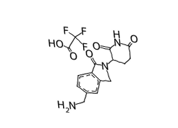 NCc1ccc2c(c1)CN(C1CCC(=O)NC1=O)C2=O.O=C(O)C(F)(F)F